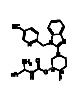 CCCC(N)NC(=O)O[C@@H]1CN(c2nc3ccccc3n2Cc2ccc(C#N)cn2)CC[C@H]1F